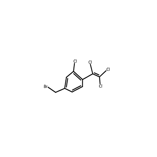 ClC(Cl)=C(Cl)c1ccc(CBr)cc1Cl